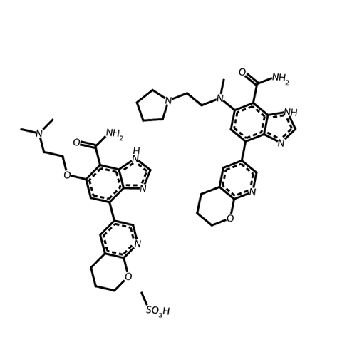 CN(C)CCOc1cc(-c2cnc3c(c2)CCCO3)c2nc[nH]c2c1C(N)=O.CN(CCN1CCCC1)c1cc(-c2cnc3c(c2)CCCO3)c2nc[nH]c2c1C(N)=O.CS(=O)(=O)O